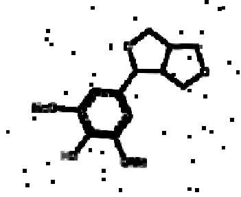 COc1cc(C2OCC3[CH]OCC32)cc(OC)c1O